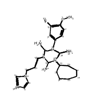 COc1ccc(N2C(N)N(CCCn3ccnc3)C(N)N(C3CCCCCC3)C2N)cc1F